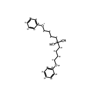 N#CC(C#N)(CCCCOc1ccccc1)CCCCOc1ccccc1